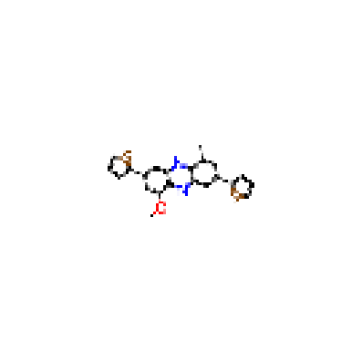 COc1cc(-c2cccs2)cc2nc3c(C)cc(-c4cccs4)cc3nc12